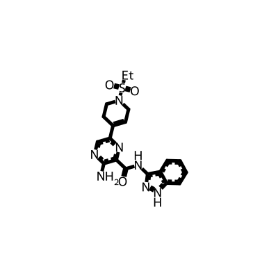 CCS(=O)(=O)N1CC=C(c2cnc(N)c(C(=O)Nc3n[nH]c4ccccc34)n2)CC1